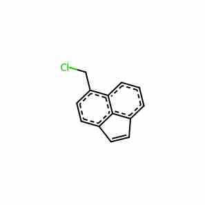 ClCc1ccc2c3c(cccc13)C=C2